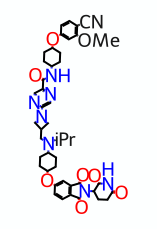 COc1cc(OC2CCC(NC(=O)c3cnc(N4CC(CN(C(C)C)C5CCC(Oc6ccc7c(c6)C(=O)N(C6CCC(=O)NC6=O)C7=O)CC5)C4)cn3)CC2)ccc1C#N